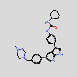 CN1CCN(Cc2ccc(-c3cnc4[nH]cc(-c5ccc(NC(=O)NC6CCCCC6)cc5)c4c3)cc2)CC1